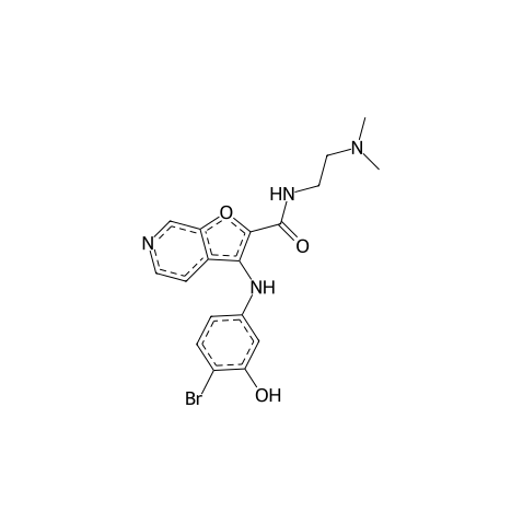 CN(C)CCNC(=O)c1oc2cnccc2c1Nc1ccc(Br)c(O)c1